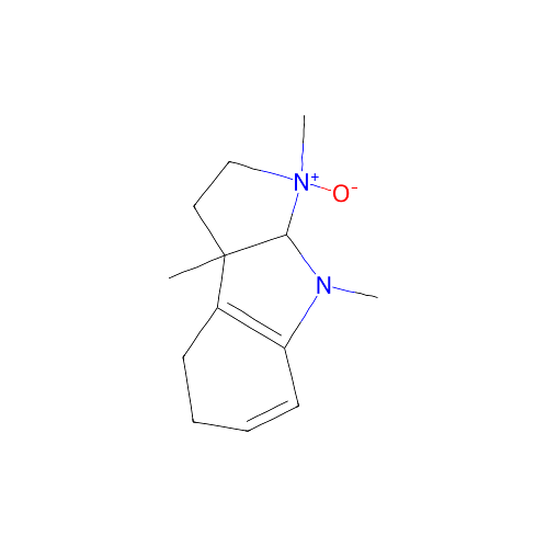 CN1C2=C(CCC=C2)C2(C)CC[N+](C)([O-])C12